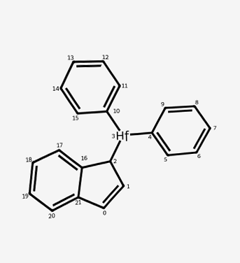 C1=C[CH]([Hf]([c]2ccccc2)[c]2ccccc2)c2ccccc21